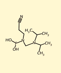 CC(C)N(CN(CCC#N)P(O)O)C(C)C